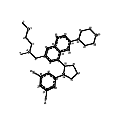 COCCN(C)Cc1cc(C2CCCN2c2cc(F)cc(F)c2)c2nc(N3CCOCC3)cnc2c1